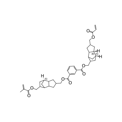 C=CC(=O)OCC1CC2C3C[C@@H](CC3COC(=O)c3cccc(C(=O)OCC4CC5C6C[C@@H](CC6COC(=O)C(=C)C)C5C4)c3)[C@H]2C1